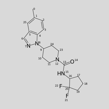 Cc1ccc2c(cnn2C2CCN(C(=O)NC3CCCC3(F)F)CC2)c1